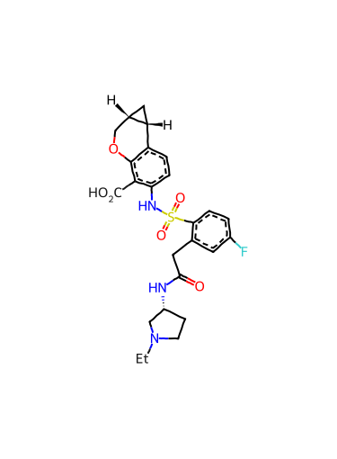 CCN1CC[C@@H](NC(=O)Cc2cc(F)ccc2S(=O)(=O)Nc2ccc3c(c2C(=O)O)OC[C@@H]2C[C@H]32)C1